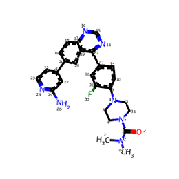 CN(C)C(=O)N1CCN(c2ccc(-c3ncnc4ccc(-c5ccnc(N)c5)cc34)cc2F)CC1